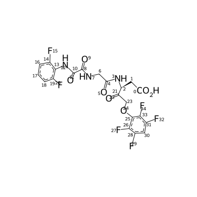 O=C(O)C[C@H](NC(=O)CNC(=O)C(=O)Nc1c(F)cccc1F)C(=O)COc1c(F)c(F)cc(F)c1F